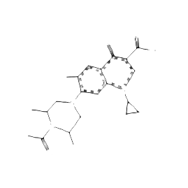 CC(=O)N1C(C)CN(c2cc3c(cc2F)c(=O)c(C(=O)O)cn3C2CC2)CC1C